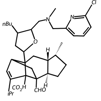 CCCCC1CC(C23C[C@@H]4[C@H](C)CC[C@H]4C4(C=O)CC2C=C(C(C)C)C34C(=O)O)OC1CN(C)Cc1cccc(Cl)n1